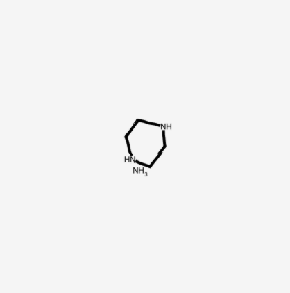 C1CNCCN1.N